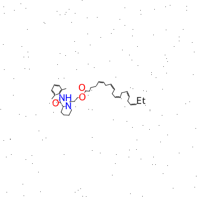 CC/C=C\C/C=C\C/C=C\C/C=C\C/C=C\CCCC(=O)OCCCN1CCCCC1C(=O)Nc1c(C)cccc1C